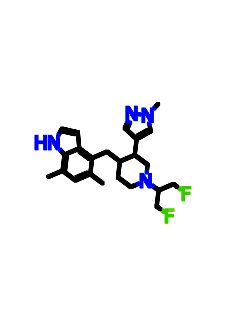 Cc1cc(C)c2[nH]ccc2c1CC1CCN(C(CF)CF)CC1c1cnn(C)c1